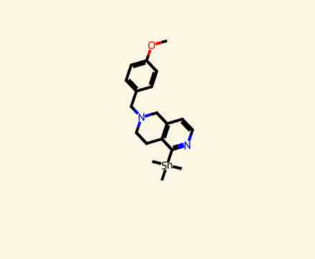 COc1ccc(CN2CCc3c(ccn[c]3[Sn]([CH3])([CH3])[CH3])C2)cc1